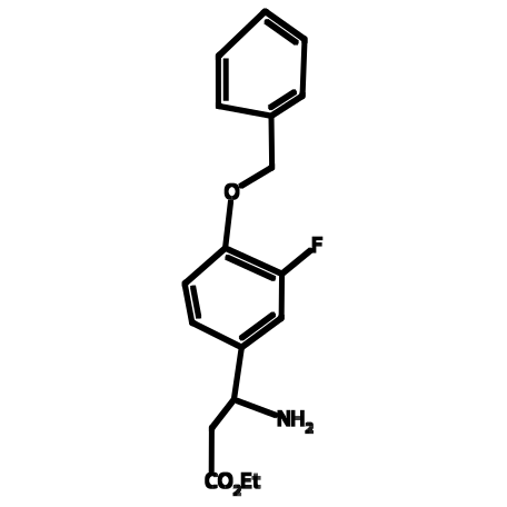 CCOC(=O)CC(N)c1ccc(OCc2ccccc2)c(F)c1